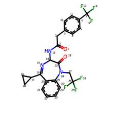 O=C(Cc1ccc(C(F)(F)F)cc1)NC1N=C(C2CC2)c2ccccc2N(CC(F)(F)F)C1=O